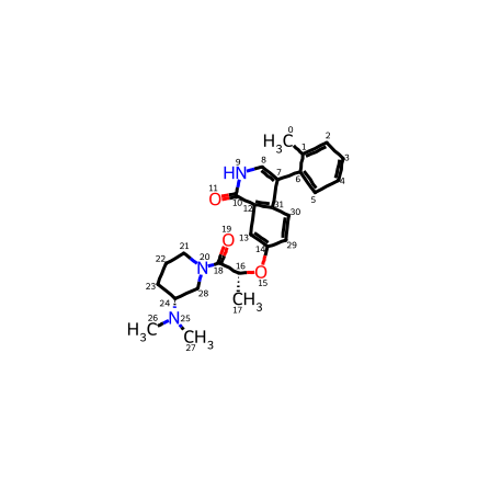 Cc1ccccc1-c1c[nH]c(=O)c2cc(O[C@H](C)C(=O)N3CCC[C@@H](N(C)C)C3)ccc12